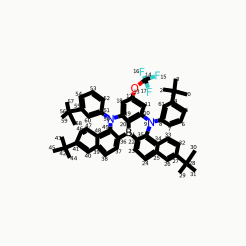 CC(C)(C)c1cccc(N2c3cc(OC(F)(F)F)cc4c3B(c3ccc5cc(C(C)(C)C)ccc5c32)c2ccc3cc(C(C)(C)C)ccc3c2N4c2cccc(C(C)(C)C)c2)c1